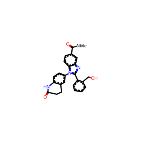 CNC(=O)c1ccc2c(c1)nc(-c1ccccc1CO)n2-c1ccc2c(c1)CCC(=O)N2